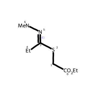 CCOC(=O)CS/C(CC)=N/NC